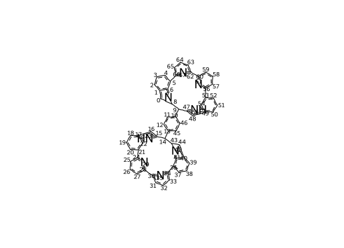 C1=c2cccc3c2=NC1C(c1ccc(C2c4cc5cccc(c5[nH]4)-c4cccc(n4)-c4cccc(n4)-c4cccc5c4=NC2C=5)cc1)c1cc2cccc(c2[nH]1)-c1cccc(n1)-c1cccc-3n1